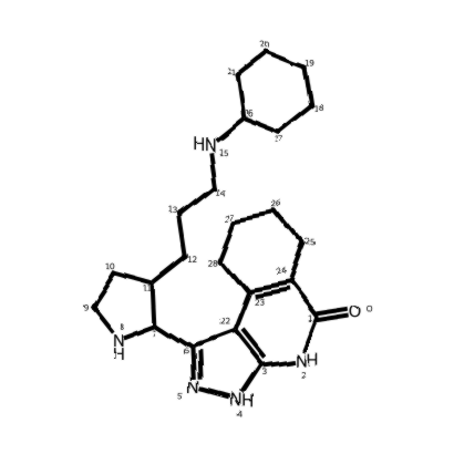 O=c1[nH]c2[nH]nc(C3NCCC3CCCNC3CCCCC3)c2c2c1CCCC2